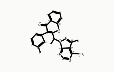 Cc1cccc(-c2c(C(C)n3nc(C)c4c(N)ncnc43)oc3ccccc3c2=O)c1